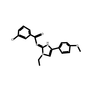 CCn1cc(-c2ccc(OC)cc2)[nH]/c1=N\C(=O)c1cccc(Cl)c1